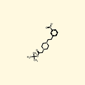 CC(C)(C)OC(=O)CN1CCN(CCc2cccc([N+](=O)[O-])c2)CC1